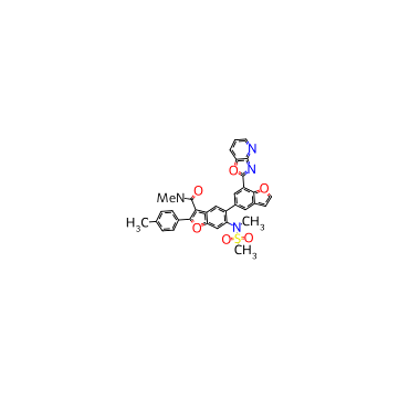 CNC(=O)c1c(-c2ccc(C)cc2)oc2cc(N(C)S(C)(=O)=O)c(-c3cc(-c4nc5ncccc5o4)c4occc4c3)cc12